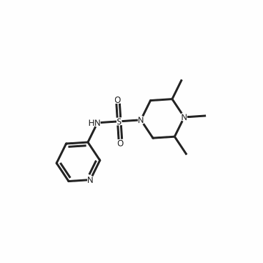 CC1CN(S(=O)(=O)Nc2cccnc2)CC(C)N1C